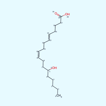 CCCCCC(O)CC/C=C\CC/C=C/CCCC(=O)O